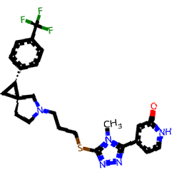 Cn1c(SCCCN2CC[C@]3(C[C@@H]3c3ccc(C(F)(F)F)cc3)C2)nnc1-c1cc[nH]c(=O)c1